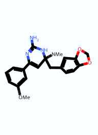 CNC1(Cc2ccc3c(c2)OCO3)C=C(c2cccc(OC)c2)N=C(N)N1